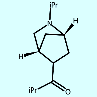 CC(C)C(=O)C1C[C@@H]2C[C@H]1CN2C(C)C